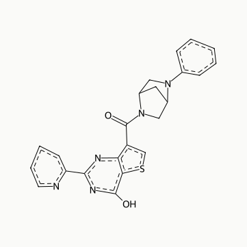 O=C(c1csc2c(O)nc(-c3ccccn3)nc12)N1CC2CC1CN2c1ccccc1